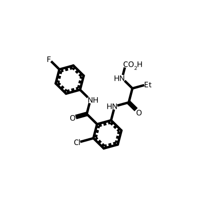 CCC(NC(=O)O)C(=O)Nc1cccc(Cl)c1C(=O)Nc1ccc(F)cc1